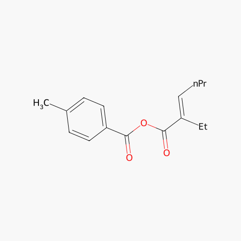 CCCC=C(CC)C(=O)OC(=O)c1ccc(C)cc1